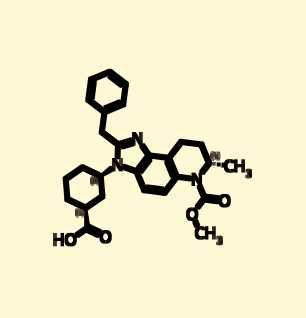 COC(=O)N1c2ccc3c(nc(Cc4ccccc4)n3[C@@H]3CCC[C@H](C(=O)O)C3)c2CC[C@@H]1C